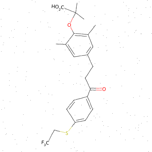 Cc1cc(CCC(=O)c2ccc(SCC(F)(F)F)cc2)cc(C)c1OC(C)(C)C(=O)O